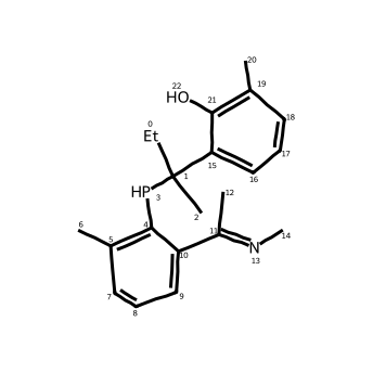 CCC(C)(Pc1c(C)cccc1/C(C)=N/C)c1cccc(C)c1O